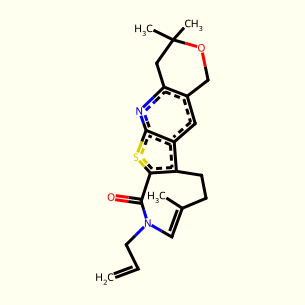 C=CCN1/C=C(\C)CCc2c(sc3nc4c(cc23)COC(C)(C)C4)C1=O